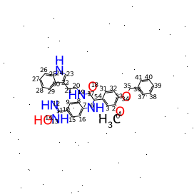 COc1cc([C@@H](Nc2ccc(C(=N)NO)cc2)C(=O)NCCc2c[nH]c3ccccc23)ccc1OCc1ccccc1